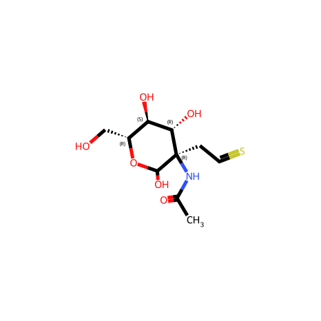 CC(=O)N[C@@]1(CC=S)C(O)O[C@H](CO)[C@@H](O)[C@@H]1O